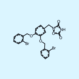 O=c1[nH]c(=O)n(Cc2ccc(OCc3ccccc3Br)c(OCc3ccccc3Br)c2)o1